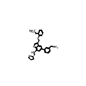 NCc1cccc(-c2cc(NC[C@@H]3CCCO3)c3occ(COc4ccccc4CC(=O)O)c3c2)c1